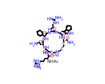 CC(=O)N[C@@H](CCCNC(=N)N)C(=O)N[C@H]1CC(=O)NCCCC[C@@H](C(N)=O)NC(=O)[C@H](Cc2c[nH]c3ccccc23)NC(=O)[C@H](CCCNC(=N)N)NC(=O)C(c2ccccc2)NC(=O)[C@H](CCN)NC1=O